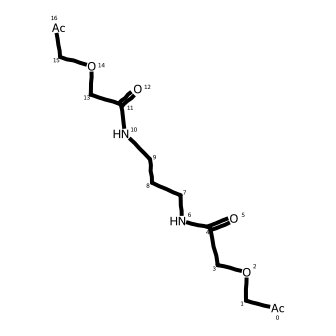 CC(=O)COCC(=O)NCCCNC(=O)COCC(C)=O